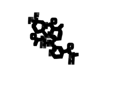 CNC(=O)c1ccnc(Nc2ccc(C)c(C(=O)N3CC(F)(F)CC[C@@H]3CNC(C)=O)n2)c1